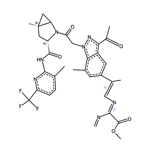 C=N/C(=N\C=C(/C)c1cc(C)c2c(c1)c(C(C)=O)nn2CC(=O)N1C2C[C@]2(C)C[C@H]1C(=O)Nc1nc(C(F)(F)F)ccc1C)C(=O)OC